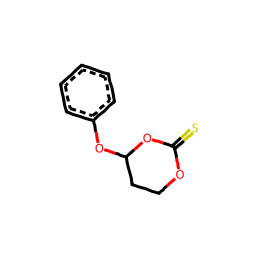 S=C1OCCC(Oc2ccccc2)O1